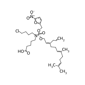 C=CC/C(=C\COP(=O)(OCc1ccc([N+](=O)[O-])o1)N(CCCCCl)CCCCC(=O)O)CC/C=C(\C)CCC=C(C)C